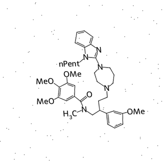 CCCCCn1c(N2CCCN(CCC(CN(C)C(=O)c3cc(OC)c(OC)c(OC)c3)c3cccc(OC)c3)CC2)nc2ccccc21